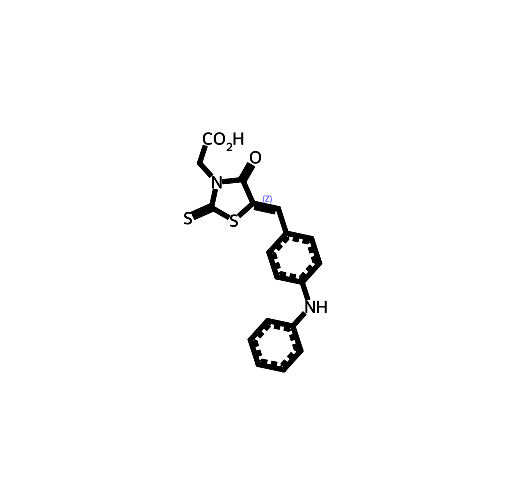 O=C(O)CN1C(=O)/C(=C/c2ccc(Nc3ccccc3)cc2)SC1=S